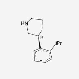 CC(C)c1ccccc1[C@@H]1CCCNC1